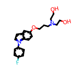 OCCN(CCO)CCCOc1ccc2c(ccn2-c2ccc(F)cc2)c1